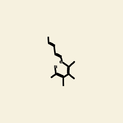 CC=CC=[CH][Cr][C](C)=C(C)C(C)=C(C)CC